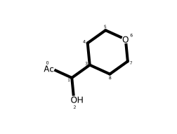 CC(=O)C(O)C1CCOCC1